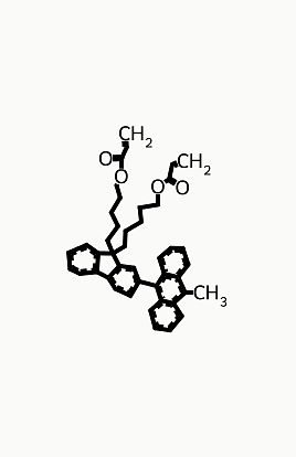 C=CC(=O)OCCCCCC1(CCCCCOC(=O)C=C)c2ccccc2-c2ccc(-c3c4ccccc4c(C)c4ccccc34)cc21